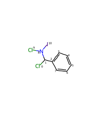 ClC(c1ccccc1)N(Cl)I